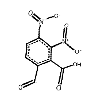 O=[C]c1ccc([N+](=O)[O-])c([N+](=O)[O-])c1C(=O)O